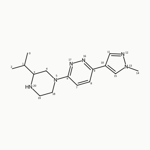 CC(C)C1CN(c2ccc(-c3cnn(C)c3)nn2)CCN1